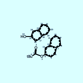 CC(C)(C)C(=O)Oc1ccc2ccccc2c1.Oc1ccc2ccccc2c1